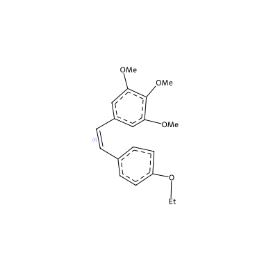 CCOc1ccc(/C=C\c2cc(OC)c(OC)c(OC)c2)cc1